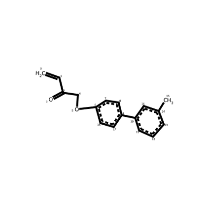 C=CC(=O)COc1ccc(-c2cccc(C)c2)cc1